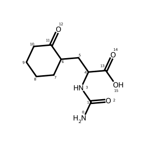 NC(=O)NC(CC1CCCCC1=O)C(=O)O